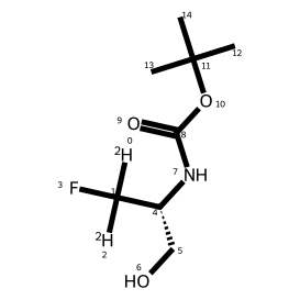 [2H]C([2H])(F)[C@@H](CO)NC(=O)OC(C)(C)C